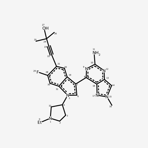 CCN1CCC(n2cc(-c3nc(N)nc4cn(C)nc34)c3cc(C#CC(C)(C)O)c(F)cc32)C1